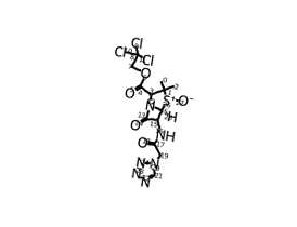 CC1(C)C(C(=O)OCC(Cl)(Cl)Cl)N2C(=O)C(NC(=O)Cn3cnnn3)[C@@H]2[S+]1[O-]